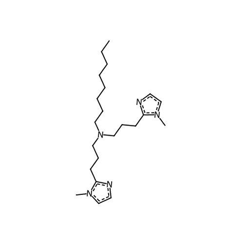 CCCCCCCCN(CCCc1nccn1C)CCCc1nccn1C